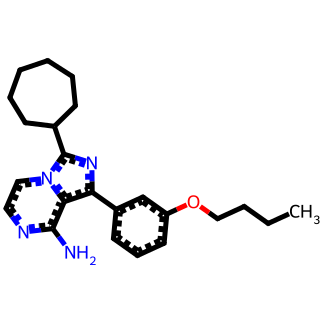 CCCCOc1cccc(-c2nc(C3CCCCCC3)n3ccnc(N)c23)c1